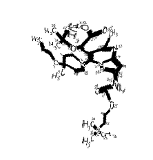 C=CCOC1(C)CCN(c2c(C(OC(C)(C)C)C(=O)O)c(C)nc3cc(NC(=O)OCC[Si](C)(C)C)nn23)CC1